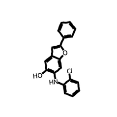 Oc1cc2cc(-c3ccccc3)oc2cc1Nc1ccccc1Cl